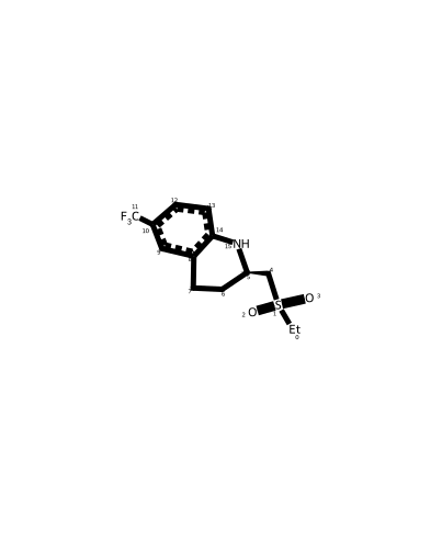 CCS(=O)(=O)C[C@H]1CCc2cc(C(F)(F)F)ccc2N1